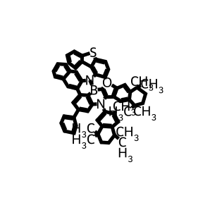 Cc1cc2c(cc1N1c3cc(-c4ccccc4)cc4c3B(c3oc5cc6c(cc5c31)C(C)(C)CCC6(C)C)N(c1cccc3sc5ccccc5c13)c1cc3ccccc3cc1-4)C(C)(C)CCC2(C)C